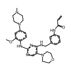 C=CC(=O)Nc1cccc(CNc2nc(Nc3ccc(N4CCN(C)CC4)cc3OC)ncc2N2CCOCC2)c1